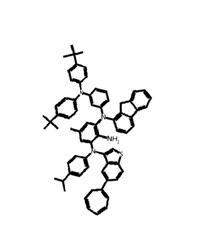 Cc1cc(N(c2cccc(N(c3ccc(C(C)(C)C)cc3)c3ccc(C(C)(C)C)cc3)c2)c2cccc3c2Cc2ccccc2-3)c(N)c(N(c2ccc(C(C)C)cc2)c2csc3ccc(C4=CC=CC=CC4)cc23)c1